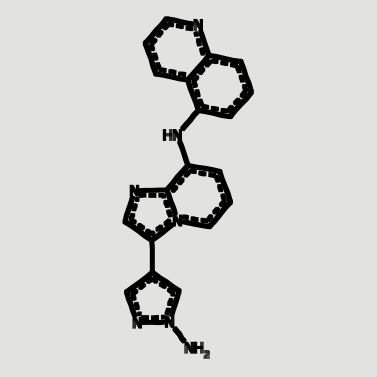 Nn1cc(-c2cnc3c(Nc4cccc5ncccc45)cccn23)cn1